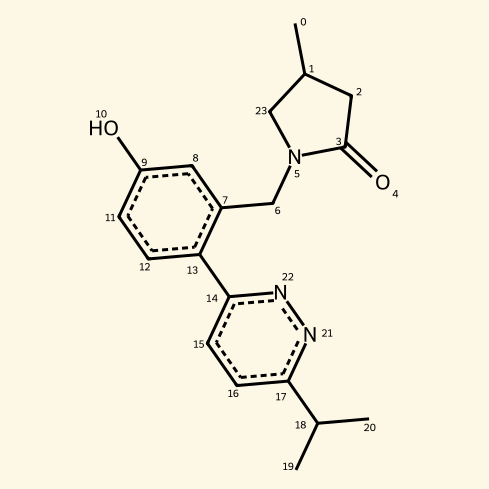 CC1CC(=O)N(Cc2cc(O)ccc2-c2ccc(C(C)C)nn2)C1